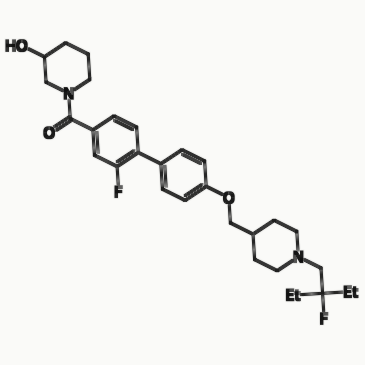 CCC(F)(CC)CN1CCC(COc2ccc(-c3ccc(C(=O)N4CCCC(O)C4)cc3F)cc2)CC1